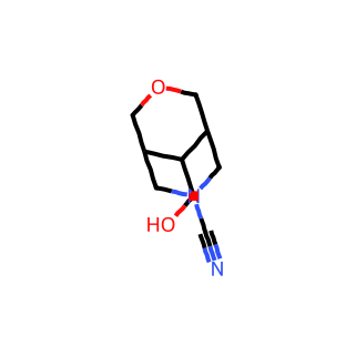 N#CN1CC2COCC(C1)C2CO